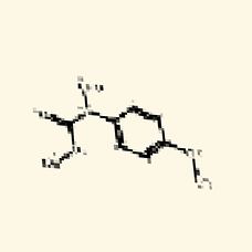 CC(C)(C)OC(=O)N(C=O)c1ccc(OC(F)(F)F)cc1